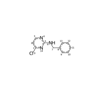 Clc1ccnc(NCc2ccccc2)n1